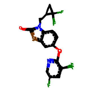 O=c1sc2cc(Oc3ncc(F)cc3F)ccc2n1CC1CC1(F)F